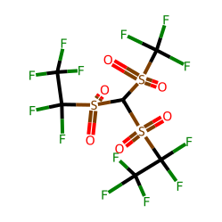 O=S(=O)([C](S(=O)(=O)C(F)(F)C(F)(F)F)S(=O)(=O)C(F)(F)C(F)(F)F)C(F)(F)F